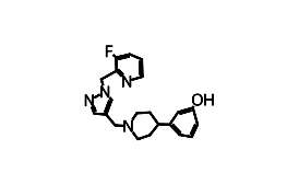 Oc1cccc(C2CCN(Cc3cnn(Cc4ncccc4F)c3)CC2)c1